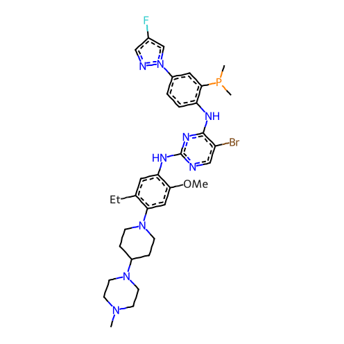 CCc1cc(Nc2ncc(Br)c(Nc3ccc(-n4cc(F)cn4)cc3P(C)C)n2)c(OC)cc1N1CCC(N2CCN(C)CC2)CC1